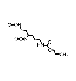 C=CCOC(=O)NCCCC(CCN=C=O)N=C=O